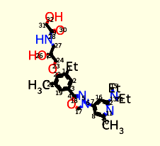 CCc1cc(C2=NN(c3cc(C)nc(N(CC)CC)c3)CO2)cc(C)c1OC[C@@H](O)CNC(=O)CO